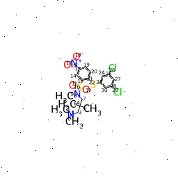 CN(C)CC(C)(C)CN(C)S(=O)(=O)c1cc([N+](=O)[O-])ccc1Sc1cc(Cl)cc(Cl)c1